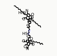 CCCCCCCCNOCc1c(C#N)cc(C=O)c2c(C(=O)NCCCCCCCC)c(-c3ccc(-c4cc(/C=C/C=C(\S)c5ccc(-c6cc(COC)c7c(C=O)c(C#N)cc(C=O)c7c6C(=O)NCCCCCCCC)s5)cs4)s3)cc(COC)c12